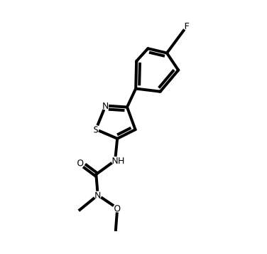 CON(C)C(=O)Nc1cc(-c2ccc(F)cc2)ns1